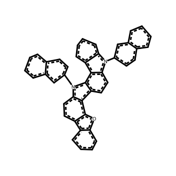 c1ccc2cc(-n3c4ccccc4c4c3ccc3c5c6oc7ccccc7c6ccc5n(-c5ccc6ccccc6c5)c34)ccc2c1